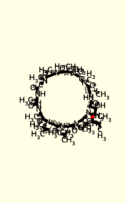 C/C=C/C[C@@H](C)[C@@H](O)[C@H]1C(=O)N[C@@H](CC)C(=O)N(C)CC(=O)N(C)[C@H](C)C(=O)N[C@@H](C)C(=O)N(C)CC(=O)N[C@@H](C)C(=O)N[C@H](C)C(=O)N(C)[C@@H](CC(C)C)C(=O)N(C)[C@@H](CC(C)C)C(=O)N(C)[C@@H](C(C)C)C(=O)N1C